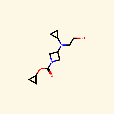 O=C(OC1CC1)N1CC(N(CCO)C2CC2)C1